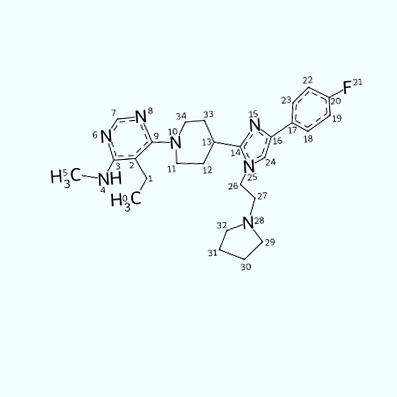 CCc1c(NC)ncnc1N1CCC(c2nc(-c3ccc(F)cc3)cn2CCN2CCCC2)CC1